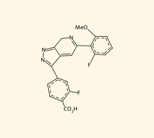 COc1cccc(F)c1C1=NCC2=NN=C(c3ccc(C(=O)O)c(F)c3)C2=C1